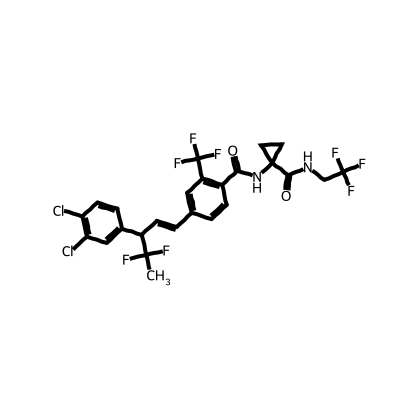 CC(F)(F)C(/C=C/c1ccc(C(=O)NC2(C(=O)NCC(F)(F)F)CC2)c(C(F)(F)F)c1)c1ccc(Cl)c(Cl)c1